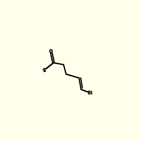 CC/C=C/CCC(=O)[S]